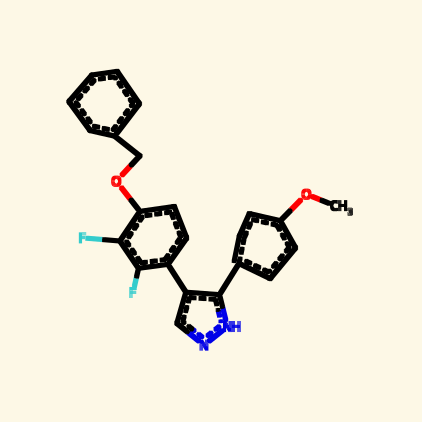 COc1ccc(-c2[nH]ncc2-c2ccc(OCc3ccccc3)c(F)c2F)cc1